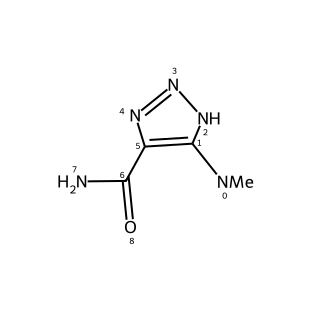 CNc1[nH]nnc1C(N)=O